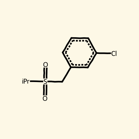 CC(C)S(=O)(=O)Cc1cccc(Cl)c1